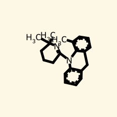 Cc1cccc2c1N(C1=NC(C)(C)CCC1)c1ccccc1C2